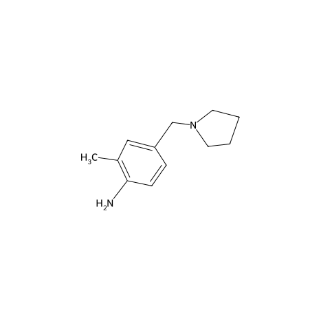 Cc1cc(CN2CCCC2)ccc1N